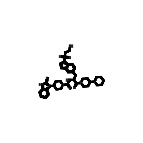 O=C(NC(Cc1ccc2c(ccn2S(=O)(=O)CCS)c1)C(=O)N1CCC(N2CCCCC2)CC1)N1CCC(n2c(=O)[nH]c3ccccc32)CC1